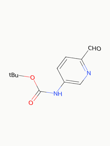 CC(C)(C)OC(=O)Nc1ccc(C=O)nc1